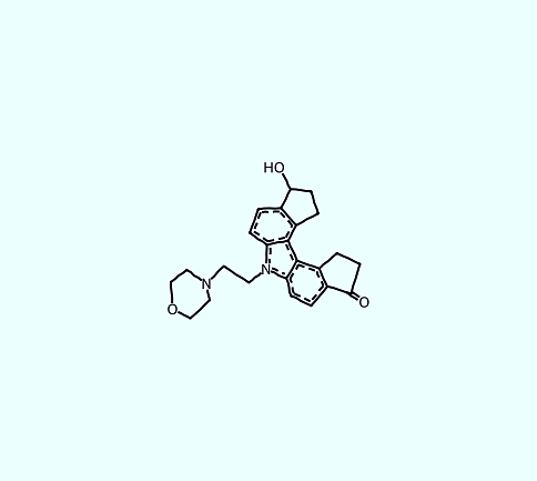 O=C1CCc2c1ccc1c2c2c3c(ccc2n1CCN1CCOCC1)C(O)CC3